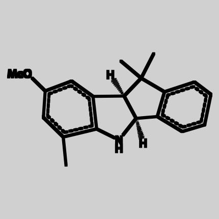 COc1cc(C)c2c(c1)[C@@H]1[C@H](N2)c2ccccc2C1(C)C